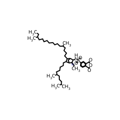 C/C=C1\C2CC(C1NS(=O)(=O)c1ccc3c(c1)C(=O)OC3=O)C(CCCCC(C)CCCCCCCCCC(C)CC)C2CCCCCC(C)CCCC(C)C